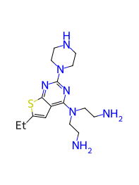 CCc1cc2c(N(CCN)CCN)nc(N3CCNCC3)nc2s1